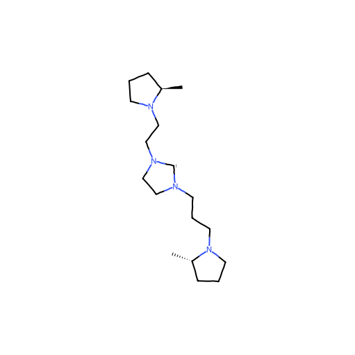 C[C@@H]1CCCN1CCN1[C]N(CCCN2CCC[C@@H]2C)CC1